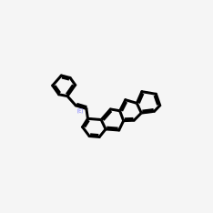 C(=C\c1cccc2cc3cc4ccccc4cc3cc12)/c1ccccc1